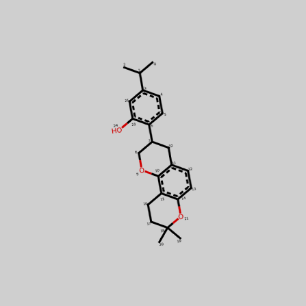 CC(C)c1ccc(C2COc3c(ccc4c3CCC(C)(C)O4)C2)c(O)c1